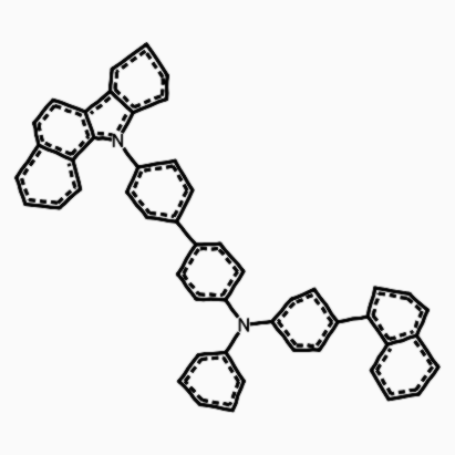 c1ccc(N(c2ccc(-c3ccc(-n4c5ccccc5c5ccc6ccccc6c54)cc3)cc2)c2ccc(-c3cccc4ccccc34)cc2)cc1